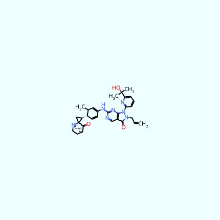 C=CCn1c(=O)c2cnc(NC3=CC(C)[C@@H](C4CC45C(=O)C4CCN5CC4)C=C3)nc2n1-c1cccc(C(C)(C)O)n1